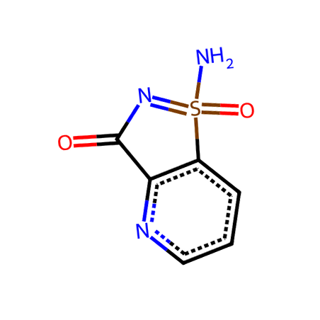 NS1(=O)=NC(=O)c2ncccc21